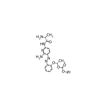 CC(C)OC(=O)OC(C)Oc1ccccc1/N=N/c1ccc(NC(=O)[C@H](C)N)nc1N